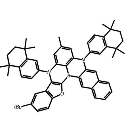 Cc1cc2c3c(c1)N(c1ccc4c(c1)C(C)(C)CCC4(C)C)c1c(oc4ccc(C(C)(C)C)cc14)B3c1cc3ccccc3cc1N2c1ccc2c(c1)C(C)(C)CCC2(C)C